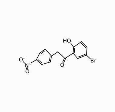 O=C(Cc1ccc([N+](=O)[O-])cc1)c1cc(Br)ccc1O